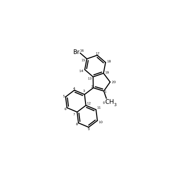 CC1=C(c2cccc3ccccc23)c2cc(Br)ccc2C1